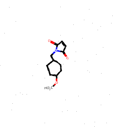 O=C(O)OC1CCC(CN2C(=O)C=CC2=O)CC1